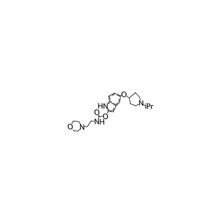 CC(C)N1CCC(Oc2ccc3[nH]c(OC(=O)NCCN4CCOCC4)cc3c2)CC1